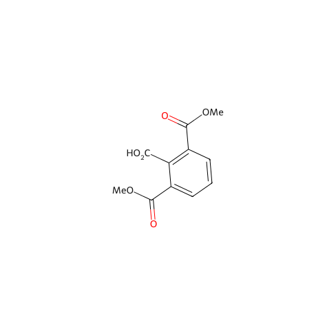 COC(=O)c1cccc(C(=O)OC)c1C(=O)O